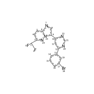 FC(F)c1ccc2ncc(-c3cc(-c4cccc(Br)c4)ncn3)n2n1